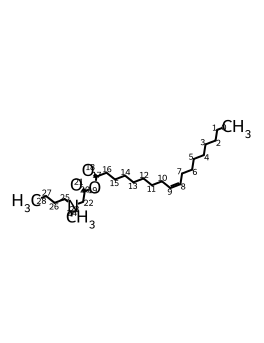 CCCCCCCC/C=C\CCCCCCCC(=O)OC(=O)CN(C)CCCC